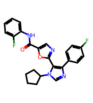 O=C(Nc1ccccc1F)c1cnc(-c2c(-c3ccc(F)cc3)ncn2C2CCCC2)o1